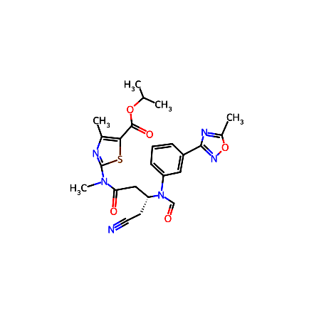 Cc1nc(-c2cccc(N(C=O)[C@H](CC#N)CC(=O)N(C)c3nc(C)c(C(=O)OC(C)C)s3)c2)no1